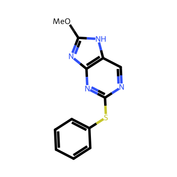 COc1nc2nc(Sc3ccccc3)ncc2[nH]1